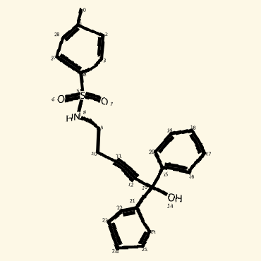 Cc1ccc(S(=O)(=O)NCCC#CC(O)(c2ccccc2)c2ccccc2)cc1